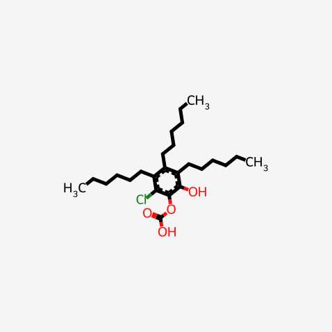 CCCCCCc1c(O)c(OC(=O)O)c(Cl)c(CCCCCC)c1CCCCCC